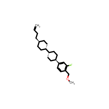 C=CCC[C@H]1CC[C@H]([C@H]2CC[C@H](c3ccc(COC)c(F)c3)CC2)CC1